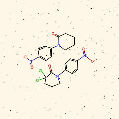 O=C1CCCCN1c1ccc([N+](=O)[O-])cc1.O=C1N(c2ccc([N+](=O)[O-])cc2)CCCC1(Cl)Cl